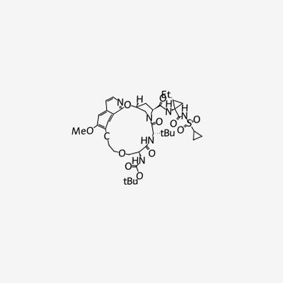 CC[C@@H]1C[C@]1(NC(=O)[C@@H]1C[C@@H]2CN1C(=O)[C@H](C(C)(C)C)NC(=O)[C@@H](NC(=O)OC(C)(C)C)COCCCc1cc3c(nccc3cc1OC)O2)C(=O)NS(=O)(=O)C1CC1